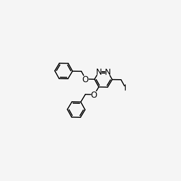 ICc1cc(OCc2ccccc2)c(OCc2ccccc2)nn1